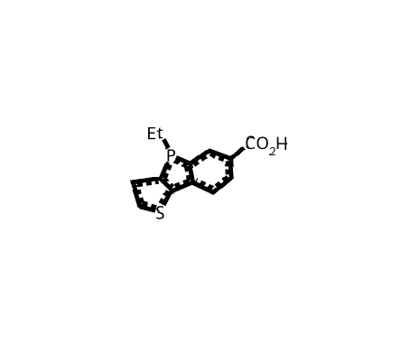 CCp1c2cc(C(=O)O)ccc2c2sccc21